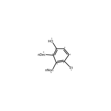 CCCCCCCCCCc1c(O)ccc(CC)c1CCCCCCCCC